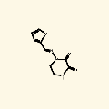 O=C1NCCN(N=Cc2ccco2)C1=O